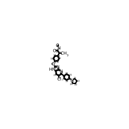 CC(C(=O)N=O)c1ccc(Oc2nc3nc(-c4ccc(N5CCCC5)cc4)c(Cl)cc3[nH]2)cc1